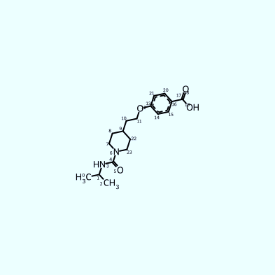 CC(C)NC(=O)N1CCC(CCOc2ccc(C(=O)O)cc2)CC1